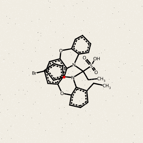 CCc1cccc2c1N(C(CC)(N1c3ccccc3Oc3cc(Br)ccc31)S(=O)(=O)O)c1ccccc1O2